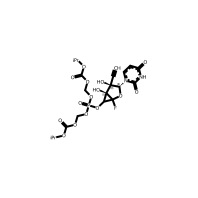 C#C[C@]1(O)[C@H](n2ccc(=O)[nH]c2=O)OC2(F)C(OP(=O)(OCOC(=O)OC(C)C)OCOC(=O)OC(C)C)[C@@]21O